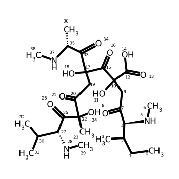 CCC(C)[C@H](NC)C(=O)CC(O)(C(=O)O)C(=O)C(O)(CC(=O)C(C)(O)C(=O)[C@H](NC)C(C)C)C(=O)[C@@H](C)NC